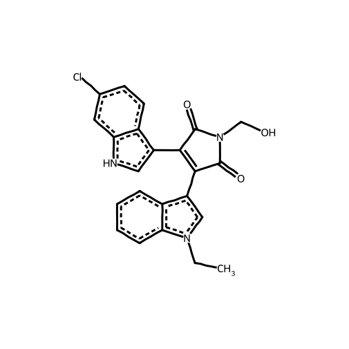 CCn1cc(C2=C(c3c[nH]c4cc(Cl)ccc34)C(=O)N(CO)C2=O)c2ccccc21